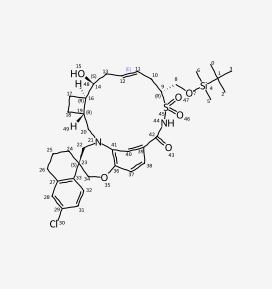 CC(C)(C)[Si](C)(C)OC[C@H]1C/C=C/C[C@H](O)[C@@H]2CC[C@H]2CN2C[C@@]3(CCCc4cc(Cl)ccc43)COc3ccc(cc32)C(=O)NS1(=O)=O